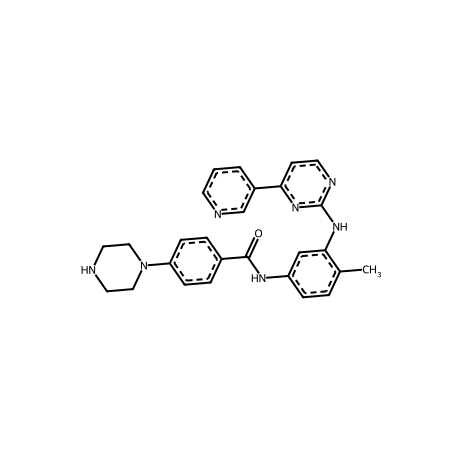 Cc1ccc(NC(=O)c2ccc(N3CCNCC3)cc2)cc1Nc1nccc(-c2cccnc2)n1